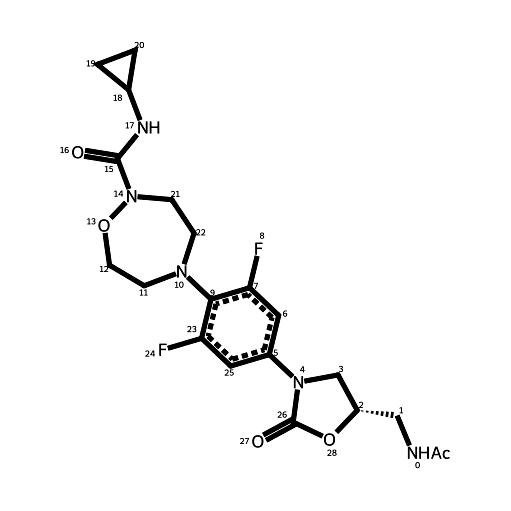 CC(=O)NC[C@H]1CN(c2cc(F)c(N3CCON(C(=O)NC4CC4)CC3)c(F)c2)C(=O)O1